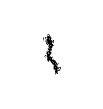 C[C@H]1CC2(CCN(c3ccc(C(=O)N4CCN(C5CN(c6ccc7c(c6)C(=O)N(C6CCC(=O)NC6=O)C7=O)C5)CC4)nn3)CC2)CN1c1ccc(C#N)c(Cl)c1